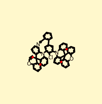 N#Cc1ccccc1-c1cc(N2c3ccccc3C3(c4ccccc4Oc4ccccc43)c3ccccc32)c(Cl)c(N2c3ccccc3C3(c4ccccc4Oc4ccccc43)c3ccccc32)c1